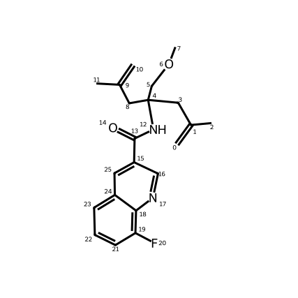 C=C(C)CC(COC)(CC(=C)C)NC(=O)c1cnc2c(F)cccc2c1